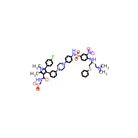 Cc1c(C(=O)NC[SH](=O)=O)c(-c2cccc(N3CCN(c4ccc(NS(=O)(=O)c5ccc(N[C@H](CCN(C)C)CSc6ccccc6)c([N+](=O)[O-])c5)cc4)CC3)c2)c(-c2ccc(F)cc2)n1C